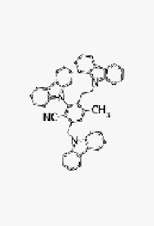 Cc1cc(Cn2c3ccccc3c3ccccc32)c(C#N)c(-n2c3ccccc3c3ccccc32)c1CCn1c2ccccc2c2ccccc21